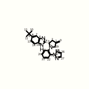 C=C1C[C@@H](c2nc3cc(C(C)(C)C)ccc3[nH]2)N(c2ccc[c]c2-n2nccn2)C1